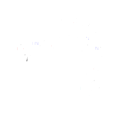 CC(C(=O)NC[C@@H](C)O)c1ccc(OC2CCN(c3ccc(OCC4CC4(F)F)cn3)C2)cc1